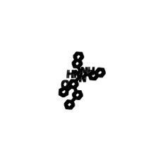 c1ccc(-c2cccc(-c3cc(C4=NC(c5ccc6ccccc6c5)NC(c5ccc6ccccc6c5)N4)cc4oc5ccccc5c34)c2)cc1